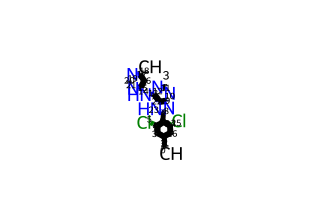 C#Cc1cc(Cl)c(-c2nc3ncnc(Nc4cc(C)ncn4)c3[nH]2)c(Cl)c1